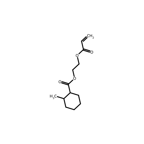 C=CC(=O)OCCOC(=O)C1CCCCC1C